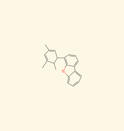 CC1=CC(c2cccc3c2oc2ccccc23)C(C)C(C)=C1